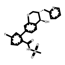 CS(=O)(=O)NC(=O)c1ccc(F)cc1-c1ccc2c(c1)OC[C@H](Cc1ccccn1)[C@H]2O